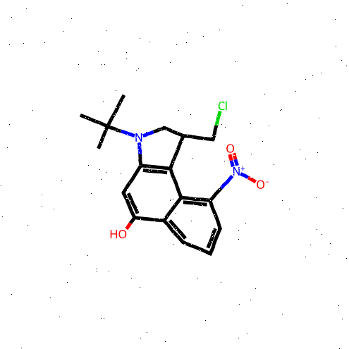 CC(C)(C)N1CC(CCl)c2c1cc(O)c1cccc([N+](=O)[O-])c21